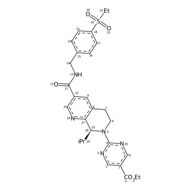 CCOC(=O)c1cnc(N2CCc3cc(C(=O)NCc4ccc(S(=O)(=O)CC)cc4)cnc3[C@@H]2C(C)C)nc1